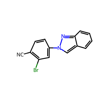 N#Cc1ccc(-n2cc3ccccc3n2)cc1Br